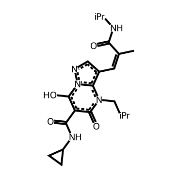 CC(=Cc1cnn2c(O)c(C(=O)NC3CC3)c(=O)n(CC(C)C)c12)C(=O)NC(C)C